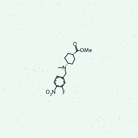 COC(=O)[C@H]1CC[C@H](N(C)Cc2ccc([N+](=O)[O-])c(F)c2)CC1